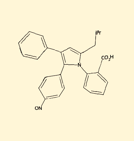 CC(C)Cc1cc(-c2ccccc2)c(-c2ccc(N=O)cc2)n1-c1ccccc1C(=O)O